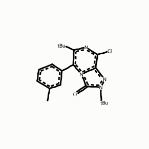 Cc1cccc(-c2c(C(C)(C)C)nc(Cl)c3nn(C(C)(C)C)c(=O)n23)c1